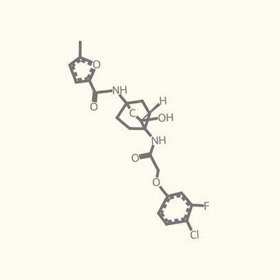 Cc1ccc(C(=O)NC23CCC(NC(=O)COc4ccc(Cl)c(F)c4)(CC2)[C@@H](O)C3)o1